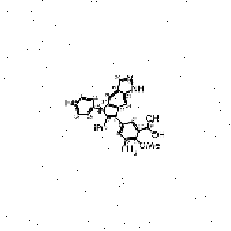 COc1c(C)cc(-c2c(C(C)C)n(-c3ccc(F)cc3)c3cc4cn[nH]c4cc23)cc1C(O)O